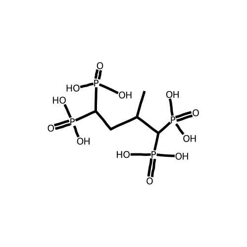 CC(CC(P(=O)(O)O)P(=O)(O)O)C(P(=O)(O)O)P(=O)(O)O